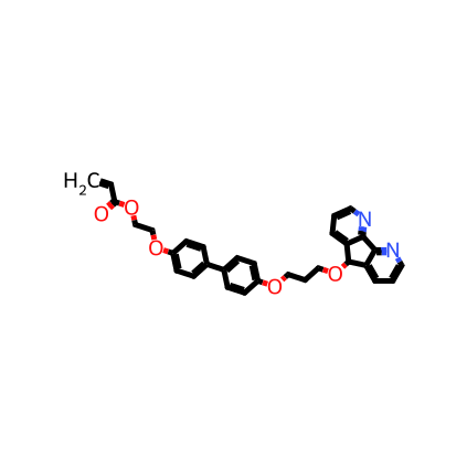 C=CC(=O)OCCOc1ccc(-c2ccc(OCCCOC3c4cccnc4-c4ncccc43)cc2)cc1